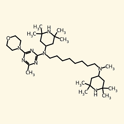 Cc1nc(N2CCOCC2)nc(N(CCCCCCCCN(C)C2CC(C)(C)NC(C)(C)C2)C2CC(C)(C)NC(C)(C)C2)n1